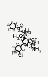 CC(C)(NCC(=O)c1ccccc1)c1cc(-c2ccc(F)c(Cl)c2)nc(C(F)(CN)C(F)(F)F)c1